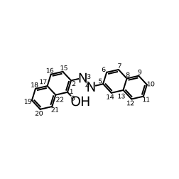 Oc1c(N=Nc2ccc3ccccc3c2)ccc2ccccc12